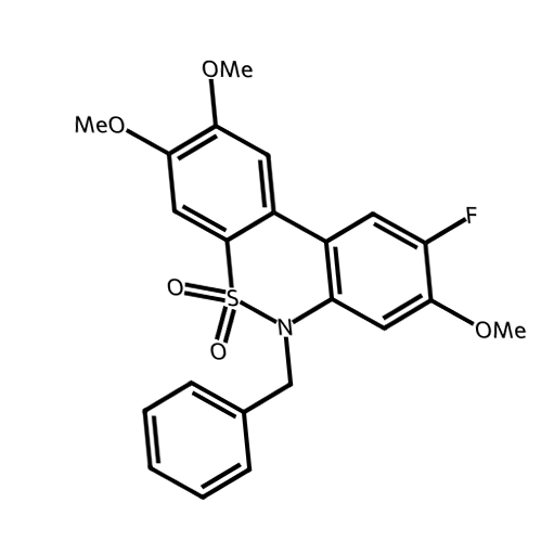 COc1cc2c(cc1F)-c1cc(OC)c(OC)cc1S(=O)(=O)N2Cc1ccccc1